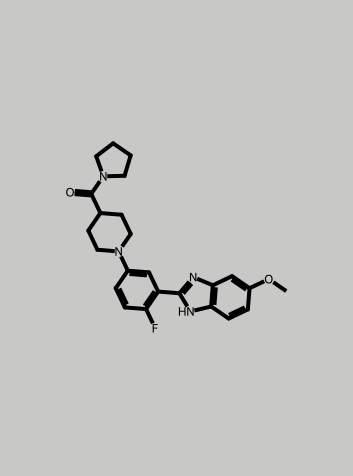 COc1ccc2[nH]c(-c3cc(N4CCC(C(=O)N5CCCC5)CC4)ccc3F)nc2c1